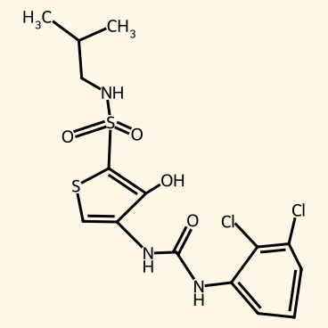 CC(C)CNS(=O)(=O)c1scc(NC(=O)Nc2cccc(Cl)c2Cl)c1O